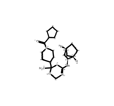 CC1(C2CCN(C(=O)C3CCCC3)CC2)OCN=C(N[C@H]2C[C@@H]3CC[C@H]2C3)S1